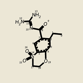 CCc1cc2c(cc1C(=O)N=C(N)N)S(=O)(=O)CCO2